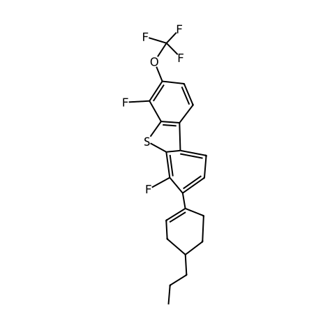 CCCC1CC=C(c2ccc3c(sc4c(F)c(OC(F)(F)F)ccc43)c2F)CC1